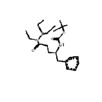 CCN(CC)N(CC)C(=O)CC[C@H](Cc1ccccc1)NC(=O)OC(C)(C)C